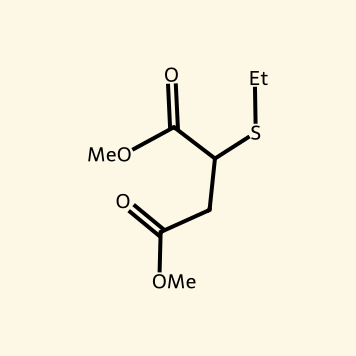 CCSC(CC(=O)OC)C(=O)OC